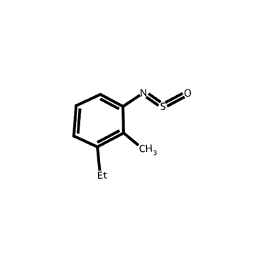 CCc1cccc(N=S=O)c1C